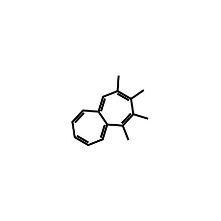 CC1=C(C)C(C)=C(C)C2=CC=CC=CC2=C1